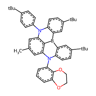 Cc1cc2c3c(c1)N(c1cccc4c1OCCO4)c1ccc(C(C)(C)C)cc1B3c1cc(C(C)(C)C)ccc1N2c1ccc(C(C)(C)C)cc1